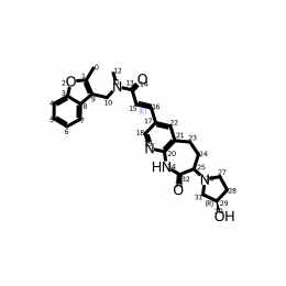 Cc1oc2ccccc2c1CN(C)C(=O)/C=C/c1cnc2c(c1)CCC(N1CC[C@@H](O)C1)C(=O)N2